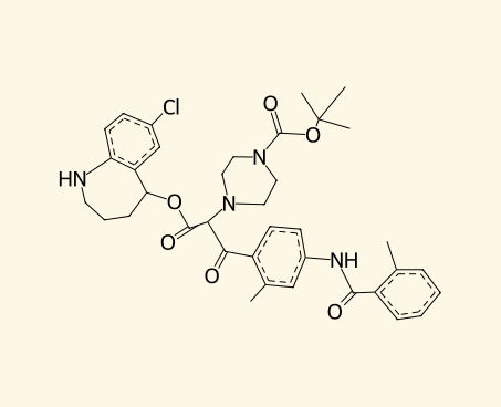 Cc1ccccc1C(=O)Nc1ccc(C(=O)C(C(=O)OC2CCCNc3ccc(Cl)cc32)N2CCN(C(=O)OC(C)(C)C)CC2)c(C)c1